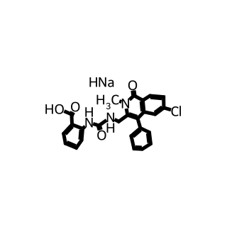 Cn1c(CNC(=O)Nc2ccccc2C(=O)O)c(-c2ccccc2)c2cc(Cl)ccc2c1=O.[NaH]